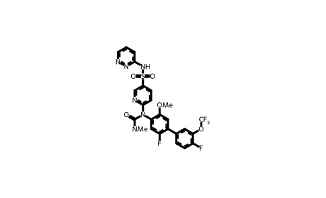 CNC(=O)N(c1ccc(S(=O)(=O)Nc2cccnn2)cn1)c1cc(F)c(-c2ccc(F)c(OC(F)(F)F)c2)cc1OC